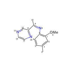 COc1cc(C)ccc1N=C(C)c1cnccn1